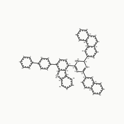 c1ccc(-c2ccc(-c3ccc(C4=NC(c5ccc6ccccc6c5)=NC(c5ccc6ccc7ccccc7c6c5)N4)c4c3oc3ccccc34)cc2)cc1